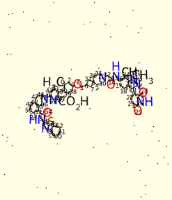 Cc1cc(OCC2CC3(CCN(CC(=O)Nc4ccc5c(C6CCC(=O)NC6=O)nn(C)c5c4C)CC3)C2)ccc1-c1ccc(N2CCc3cccc(C(=O)Nc4nc5ccccc5s4)c3C2)nc1C(=O)O